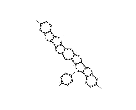 Cc1ccc2c(c1)oc1c3oc4cc5c(cc4c3sc21)oc1c2sc3cc(C)ccc3c2n(-c2ccc(O)cc2)c51